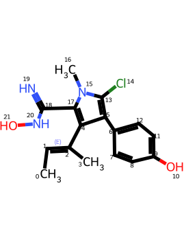 C/C=C(\C)c1c(-c2ccc(O)cc2)c(Cl)n(C)c1C(=N)NO